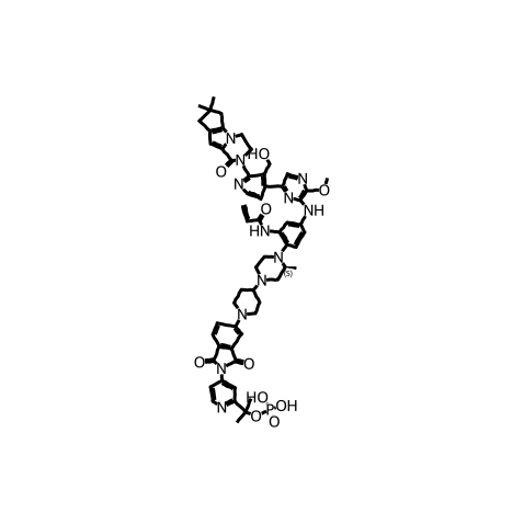 C=CC(=O)Nc1cc(Nc2nc(-c3ccnc(N4CCn5c(cc6c5CC(C)(C)C6)C4=O)c3CO)cnc2OC)ccc1N1CCN(C2CCN(c3ccc4c(c3)C(=O)N(c3ccnc(C(C)(C)OP(=O)(O)O)c3)C4=O)CC2)C[C@@H]1C